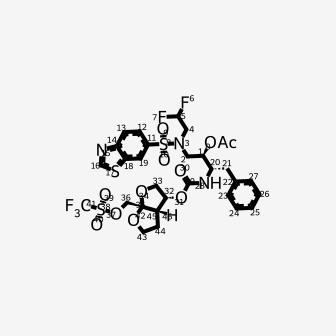 CC(=O)O[C@H](CN(CC(F)F)S(=O)(=O)c1ccc2ncsc2c1)[C@H](Cc1ccccc1)NC(=O)O[C@H]1CO[C@@]2(COS(=O)(=O)C(F)(F)F)OCC[C@@H]12